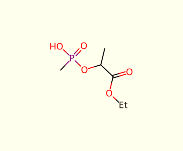 CCOC(=O)C(C)OP(C)(=O)O